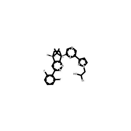 CCC(O)Cn1ccc(-c2cncc([C@@]34CC[C@@H](c5cc(-c6c(F)cccc6F)nnc53)C4(C)C)n2)n1